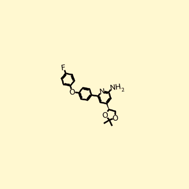 CC1(C)OC[C@H](c2cc(N)nc(-c3ccc(Oc4ccc(F)cc4)cc3)c2)O1